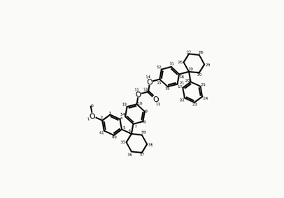 COc1ccc(C2(c3ccc(OC(=O)Oc4ccc(C5(c6ccccc6)CCCCC5)cc4)cc3)CCCCC2)cc1